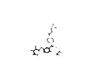 Cc1c(Cc2ccc(F)c(C(=O)N3CCN(C(=O)CCN(C)C)CC3)c2)n[nH]c(=O)c1C.O=C(O)C(F)(F)F